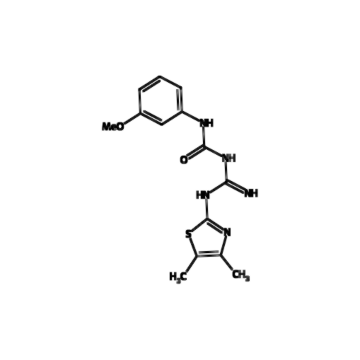 COc1cccc(NC(=O)NC(=N)Nc2nc(C)c(C)s2)c1